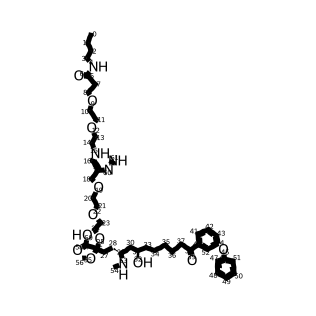 CCCCNC(=O)CCOCCOCCN/C=C(/COCCOCCOC(CC[C@H](C[C@H](O)CCCCCC(=O)c1cccc(Oc2ccccc2)c1)NC)(OC)C(=O)O)N=N